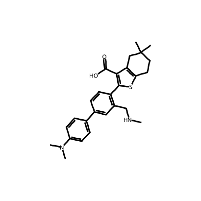 CNCc1cc(-c2ccc(N(C)C)cc2)ccc1-c1sc2c(c1C(=O)O)CC(C)(C)CC2